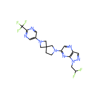 FC(F)Cn1ncc2ncc(N3CCC4(CN(c5cnc(C(F)(F)F)nc5)C4)C3)nc21